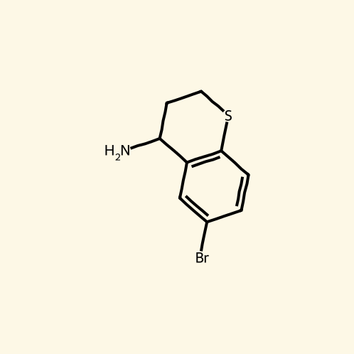 NC1CCSc2ccc(Br)cc21